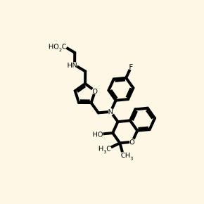 CC1(C)Oc2ccccc2C(N(Cc2ccc(CNCC(=O)O)o2)c2ccc(F)cc2)C1O